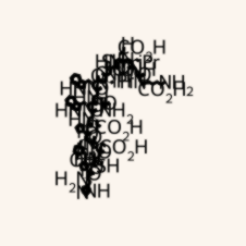 CC(C)C[C@H](NC(=O)[C@H](CCC(=O)O)NC(=O)[C@H](CS)NC(=O)[C@H](CC(C)C)NC(=O)[C@H](Cc1c[nH]c2ccccc12)NC(=O)[C@H](CCC(N)=O)NC(=O)[C@H](Cc1c[nH]c2ccccc12)NC(=O)[C@H](CCC(=O)O)NC(=O)[C@@H]1CCCN1C(=O)[C@H](Cc1ccc(O)cc1)NC(=O)[C@H](CC(=O)O)NC(=O)[C@H](CS)NC(=O)[C@@H]1CCCN1C(=O)[C@@H](N)Cc1cnc[nH]1)C(=O)NCC(=O)N[C@@H](CCCCN)C(=O)O